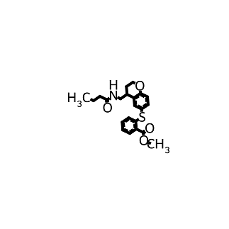 CCCC(=O)NCC1CCOc2ccc(Sc3ccccc3C(=O)OC)cc21